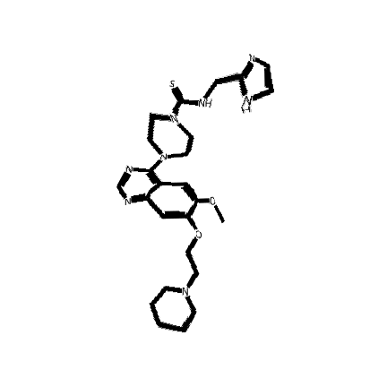 COc1cc2c(N3CCN(C(=S)NCc4ncc[nH]4)CC3)ncnc2cc1OCCN1CCCCC1